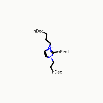 CCCCCCCCCCCCC[n+]1ccn(CCCCCCCCCCCC)c1CCCCC